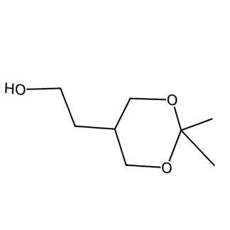 CC1(C)OCC(CCO)CO1